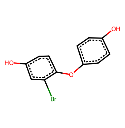 Oc1ccc(Oc2ccc(O)cc2Br)cc1